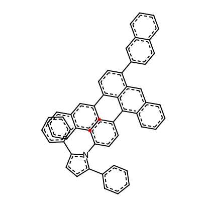 c1ccc(-c2ccc(-c3ccccc3)n2-c2ccc(-c3c4ccccc4cc4c(-c5ccc6ccccc6c5)ccc(-c5ccc6ccccc6c5)c34)cc2)cc1